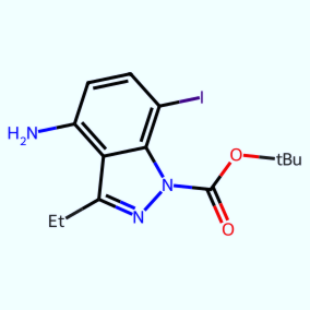 CCc1nn(C(=O)OC(C)(C)C)c2c(I)ccc(N)c12